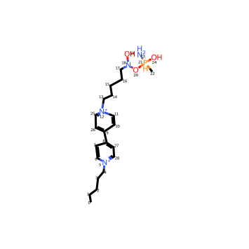 CCCCC[n+]1ccc(-c2cc[n+](CCCCCN(O)O[PH](C)(N)O)cc2)cc1